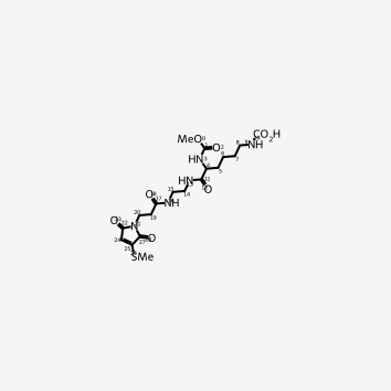 COC(=O)NC(CCCCNC(=O)O)C(=O)NCCNC(=O)CCN1C(=O)C=C(SC)C1=O